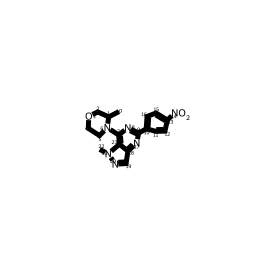 CC1COCCN1c1nc(-c2ccc([N+](=O)[O-])cc2)nc2cnn(C)c12